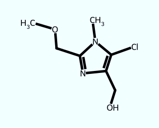 COCc1nc(CO)c(Cl)n1C